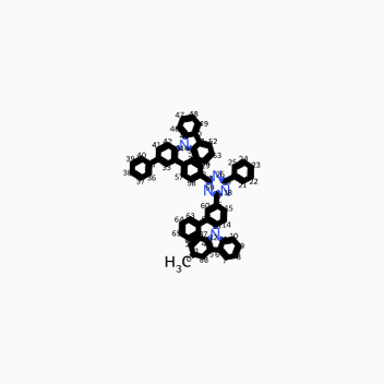 CC1C=Cc2c(c3ccccc3n2-c2ccc(-c3nc(-c4ccccc4)nc(-c4ccc(-c5cc(-c6ccccc6)ccc5-n5c6ccccc6c6ccccc65)cc4)n3)cc2-c2ccccc2)C1